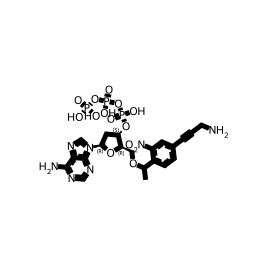 CC(OC[C@H]1O[C@@H](n2cnc3c(N)ncnc32)C[C@@H]1OP(=O)(O)OP(=O)(O)OP(=O)(O)O)c1ccc(C#CCN)cc1[N+](=O)[O-]